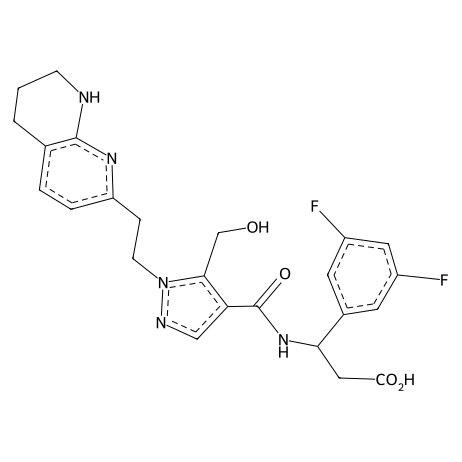 O=C(O)CC(NC(=O)c1cnn(CCc2ccc3c(n2)NCCC3)c1CO)c1cc(F)cc(F)c1